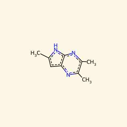 Cc1cc2nc(C)c(C)nc2[nH]1